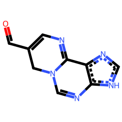 O=CC1=CN=C2c3nc[nH]c3N=CN2C1